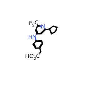 O=C(O)Cc1ccc(Nc2cc(C3CCCC3)nc(C(F)(F)F)c2)cc1